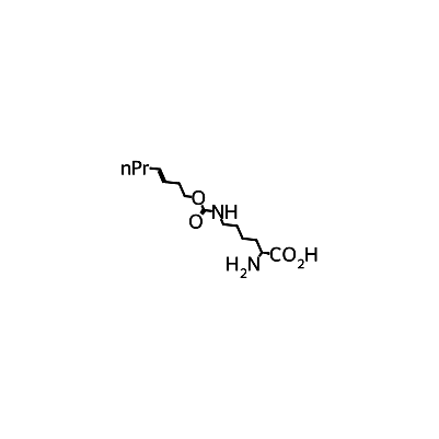 CCC/C=C/CCOC(=O)NCCCC[C@H](N)C(=O)O